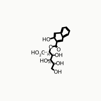 O=C(O[C@@H](C(=O)O)[C@@H](O)[C@H](O)[C@H](O)CO)c1cc2ccccc2cc1O